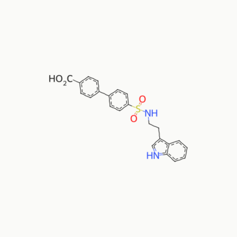 O=C(O)c1ccc(-c2ccc(S(=O)(=O)NCCc3c[nH]c4ccccc34)cc2)cc1